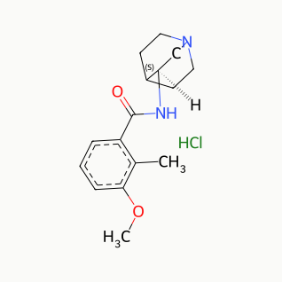 COc1cccc(C(=O)N[C@@H]2CN3CCC2CC3)c1C.Cl